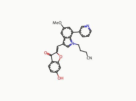 COc1cc(-c2cccnc2)c2c(c1)c(/C=C1\Oc3cc(O)ccc3C1=O)cn2CCCC#N